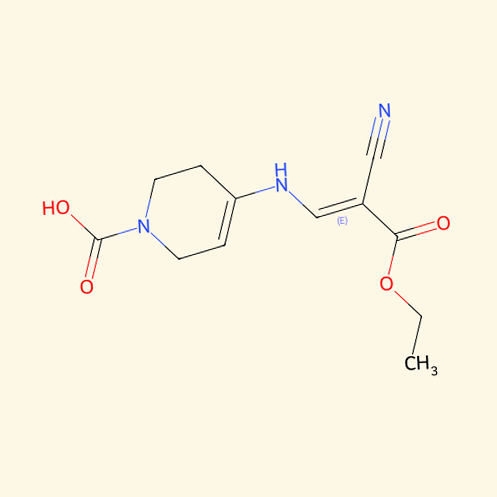 CCOC(=O)/C(C#N)=C/NC1=CCN(C(=O)O)CC1